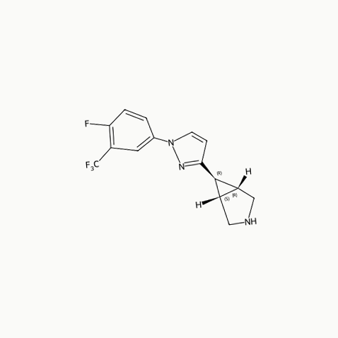 Fc1ccc(-n2ccc([C@H]3[C@@H]4CNC[C@@H]43)n2)cc1C(F)(F)F